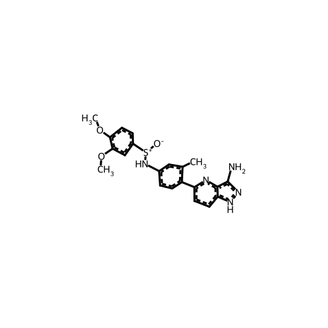 COc1ccc([S+]([O-])Nc2ccc(-c3ccc4[nH]nc(N)c4n3)c(C)c2)cc1OC